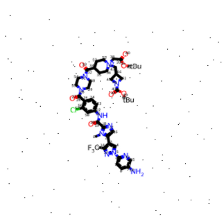 Cn1c(-c2cn(-c3ccc(N)cn3)nc2C(F)(F)F)cnc1C(=O)Nc1ccc(C(=O)N2CCN(C(=O)C3CC[N+](CC(=O)OC(C)(C)C)(CC4CN(C(=O)OC(C)(C)C)C4)CC3)CC2)c(Cl)c1